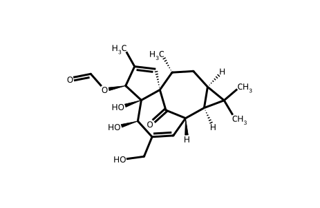 CC1=C[C@]23C(=O)[C@@H](C=C(CO)[C@@H](O)[C@]2(O)[C@H]1OC=O)[C@H]1[C@@H](C[C@H]3C)C1(C)C